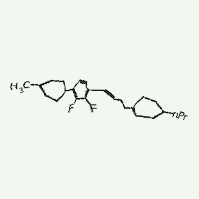 CCCC1CC=C(CC/C=C/c2ccc(C3CCC(C)CC3)c(F)c2F)CC1